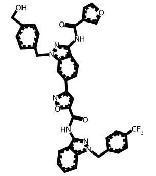 O=C(Nc1nn(Cc2ccc(CO)cc2)c2cc(-c3cc(C(=O)Nc4nn(Cc5ccc(C(F)(F)F)cc5)c5ccccc45)on3)ccc12)c1ccoc1